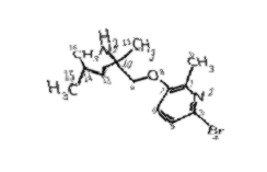 Cc1nc(Br)ccc1OCC(C)(N)CC(C)C